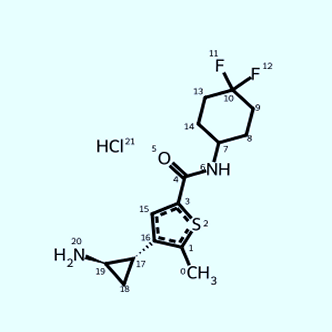 Cc1sc(C(=O)NC2CCC(F)(F)CC2)cc1[C@@H]1C[C@H]1N.Cl